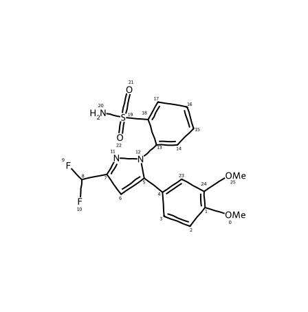 COc1ccc(-c2cc(C(F)F)nn2-c2ccccc2S(N)(=O)=O)cc1OC